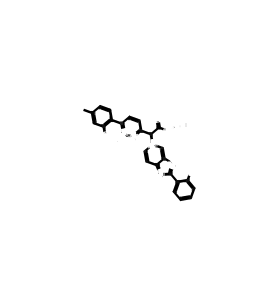 CCCCOC(=O)C(c1ccc(-c2ccc(C)cc2C(F)(F)F)nn1)n1ccc2nc(-c3ccccc3F)nc-2c1